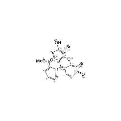 COC(=O)c1ccccc1-c1c2ccc(=O)c(Br)c-2oc2c(Br)c(O)ccc12